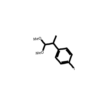 COC(OC)C(C)c1ccc(I)cc1